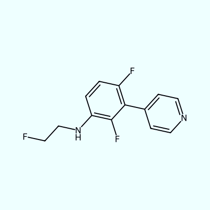 FCCNc1ccc(F)c(-c2ccncc2)c1F